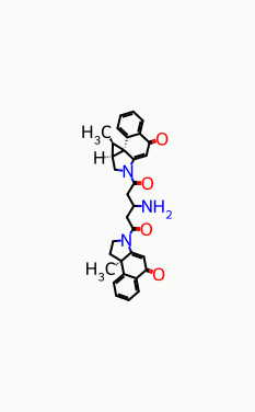 C[C@@H]1[C@@H]2CN(C(=O)CC(N)CC(=O)N3CC[C@@]4(C)C3=CC(=O)c3ccccc34)C3=CC(=O)c4ccccc4[C@@]312